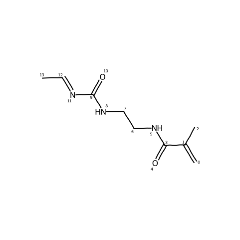 C=C(C)C(=O)NCCNC(=O)N=CC